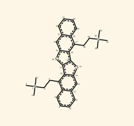 C[Si](C)(C)CCc1c2ccccc2cc2sc3c(sc4cc5ccccc5c(CC[Si](C)(C)C)c43)c12